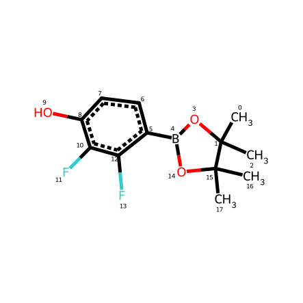 CC1(C)OB(c2ccc(O)c(F)c2F)OC1(C)C